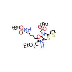 CCOC(=O)[C@@H](CCCCCCNC(=O)OC(C)(C)C)N[C@H]1CS[C@H](c2cccs2)CN(CC(=O)OC(C)(C)C)C1=O